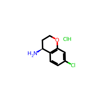 Cl.N[C@H]1CCOc2cc(Cl)ccc21